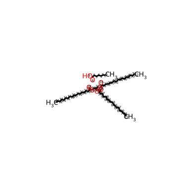 CCCCCCCC(=O)O.CCCCCCCCCCCCCCCCCC(=O)OCC(COC(=O)CCCCCCCCCCCCCCCCC)OC(=O)CCCCCCCCCCCCCCCCC